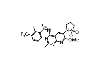 COc1nc2nc(C)nc(N[C@H](C)c3cccc(C(F)(F)F)c3C)c2cc1N1CCCS1(=O)=O